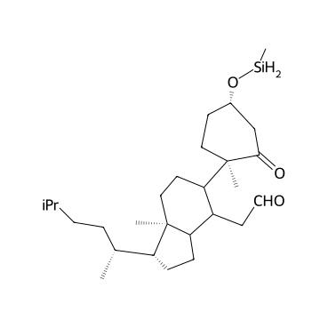 C[SiH2]O[C@H]1CC[C@](C)(C2CC[C@@]3(C)C(CC[C@@H]3[C@H](C)CCC(C)C)C2CC=O)C(=O)C1